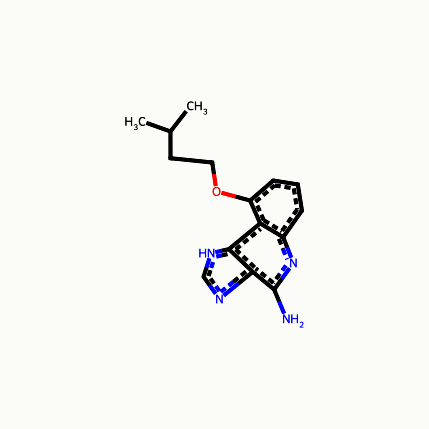 CC(C)CCOc1cccc2nc(N)c3nc[nH]c3c12